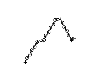 CC(C)(C)CCOCCOCCOCCOCCOC(C)(C)CCC(C)(C)OCCOCCOCCOCCOCCOC(C)(C)CC(C)(C)CCOCCOCCOCCOCCNC(C)(C)C